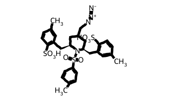 Cc1ccc(S(=O)(=O)N2[C@H](Cc3cc(C)ccc3S(=O)(=O)O)CC(CN=[N+]=[N-])C[C@@H]2Cc2cc(C)ccc2S(=O)(=O)O)cc1